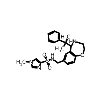 Cn1cnc(S(=O)(=O)NCc2ccc3c(c2)C(C(C)(C)c2ccccc2)NCCO3)c1